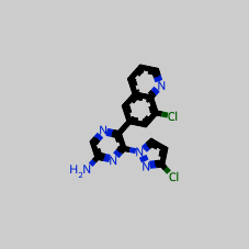 Nc1cnc(-c2cc(Cl)c3ncccc3c2)c(-n2ccc(Cl)n2)n1